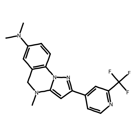 CN(C)c1ccc2c(c1)CN(C)c1cc(-c3ccnc(C(F)(F)F)c3)nn1-2